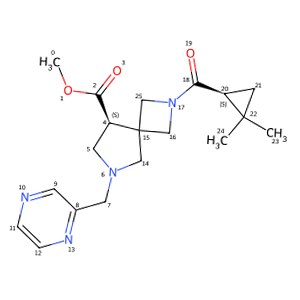 COC(=O)[C@@H]1CN(Cc2cnccn2)CC12CN(C(=O)[C@H]1CC1(C)C)C2